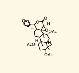 CC(=O)O[C@H]1C[C@@H](OC(C)=O)C(C)(C)[C@@H]2C[C@@H](OC(C)=O)[C@]3(C)[C@H](CC[C@@]4(C)[C@H](c5ccoc5)OC(=O)[C@H]5O[C@@]534)[C@@]12C